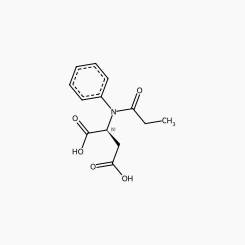 CCC(=O)N(c1ccccc1)[C@@H](CC(=O)O)C(=O)O